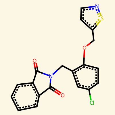 O=C1c2ccccc2C(=O)N1Cc1cc(Cl)ccc1OCc1ccns1